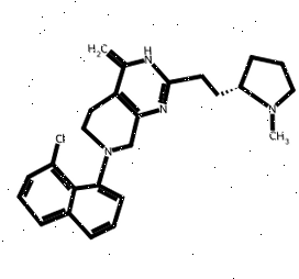 C=C1NC(CC[C@@H]2CCCN2C)=NC2=C1CCN(c1cccc3cccc(Cl)c13)C2